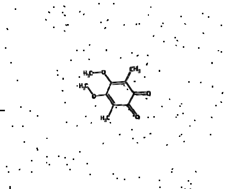 COC1=C(C)C(=O)C(=O)C(C)=C1OC